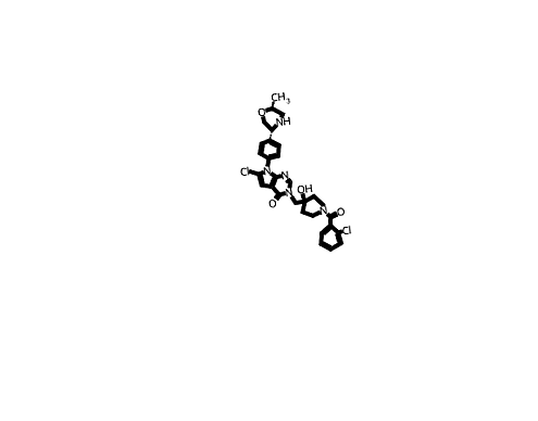 C[C@H]1CN[C@H](c2ccc(-n3c(Cl)cc4c(=O)n(CC5(O)CCN(C(=O)c6ccccc6Cl)CC5)cnc43)cc2)CO1